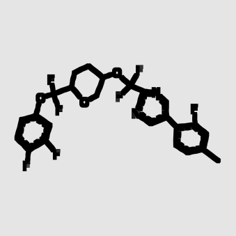 Cc1ccc(-c2cnc(C(F)(F)OC3CCC(C(F)(F)Oc4ccc(F)c(F)c4)OC3)nc2)c(F)c1